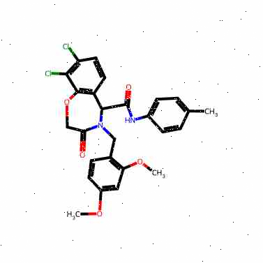 COc1ccc(CN2C(=O)COc3c(ccc(Cl)c3Cl)C2C(=O)Nc2ccc(C)cc2)c(OC)c1